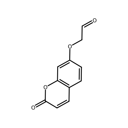 O=CCOc1ccc2ccc(=O)oc2c1